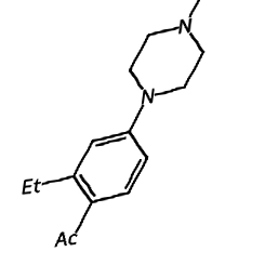 CCc1cc(N2CCN(CC)CC2)ccc1C(C)=O